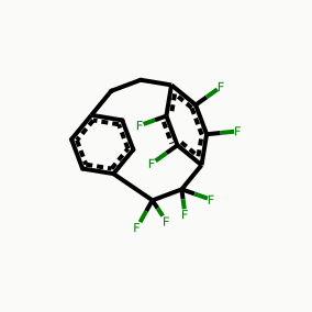 Fc1c(F)c2c(F)c(F)c1CCc1ccc(cc1)C(F)(F)C2(F)F